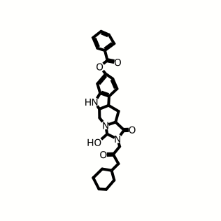 O=C(CC1CCCCC1)CN1C(=O)C2CC3c4ccc(OC(=O)c5ccccc5)cc4NC3CN2C1O